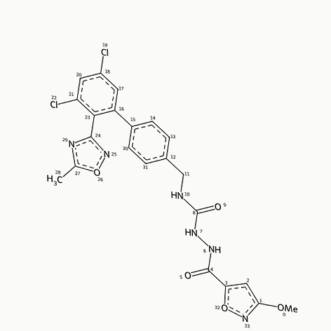 COc1cc(C(=O)NNC(=O)NCc2ccc(-c3cc(Cl)cc(Cl)c3-c3noc(C)n3)cc2)on1